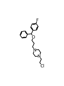 Fc1ccc(C(OCCCN2CCN(CCCl)CC2)c2ccccc2)cc1